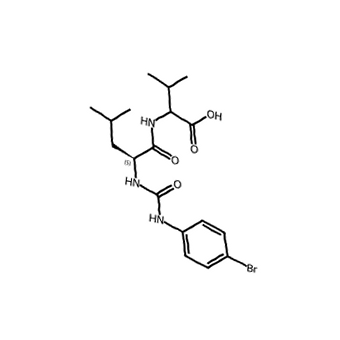 CC(C)C[C@H](NC(=O)Nc1ccc(Br)cc1)C(=O)NC(C(=O)O)C(C)C